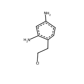 Nc1ccc(CCCl)c(N)c1